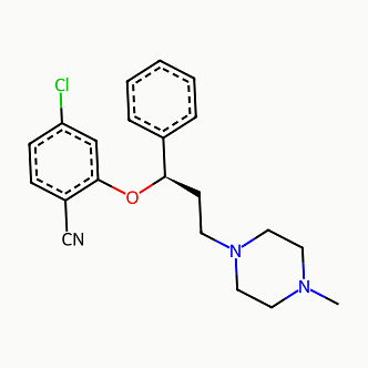 CN1CCN(CC[C@@H](Oc2cc(Cl)ccc2C#N)c2ccccc2)CC1